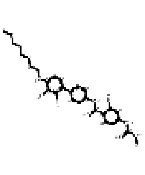 CCCCCCCCOc1ccc(-c2ccc(OC(=O)c3ccc(OC(=O)OC)cc3F)cc2)c(F)c1F